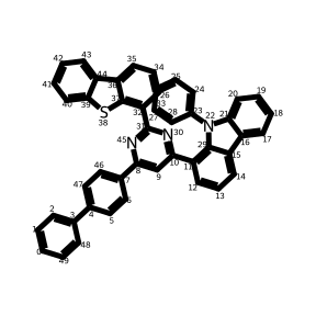 c1ccc(-c2ccc(-c3cc(-c4cccc5c6ccccc6n(-c6ccccc6)c45)nc(-c4cccc5c4sc4ccccc45)n3)cc2)cc1